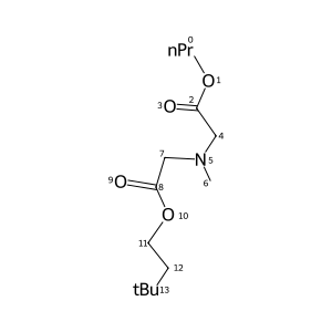 CCCOC(=O)CN(C)CC(=O)OCCC(C)(C)C